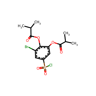 CC(C)C(=O)Oc1cc(S(=O)(=O)Cl)cc(Br)c1OC(=O)C(C)C